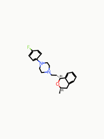 C[C@@H]1Cc2ccccc2[C@@H](CCN2CCN(c3ccc(F)cc3)CC2)O1